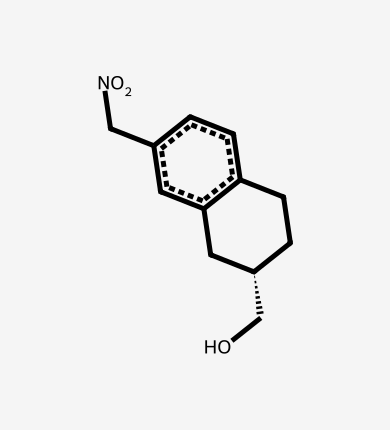 O=[N+]([O-])Cc1ccc2c(c1)C[C@@H](CO)CC2